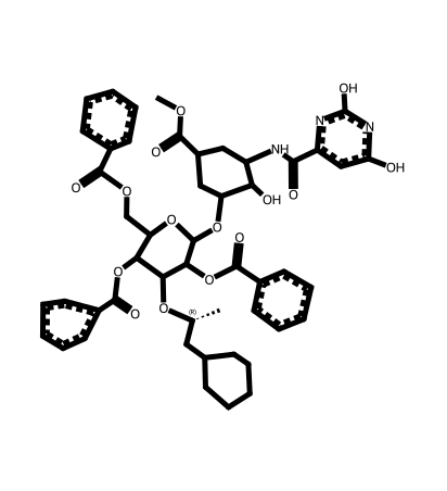 COC(=O)C1CC(NC(=O)c2cc(O)nc(O)n2)C(O)C(OC2OC(COC(=O)c3ccccc3)C(OC(=O)c3ccccc3)C(O[C@H](C)CC3CCCCC3)C2OC(=O)c2ccccc2)C1